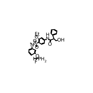 CCOc1cc(NC(=O)C(CO)c2ccccc2)ccc1S(=O)(=O)N(C)c1cccc(OC(F)(P)I)c1